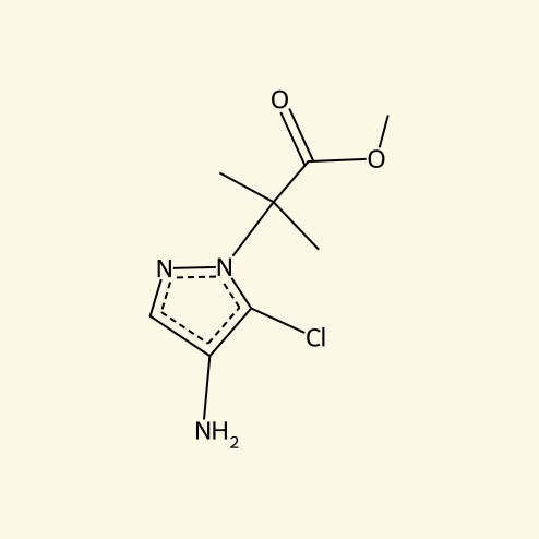 COC(=O)C(C)(C)n1ncc(N)c1Cl